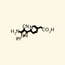 CC(C)n1nc(-c2ccc(CC(=O)O)cn2)c(C#N)c1N